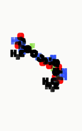 CCN(C)S(=O)(=O)Nc1ccc(F)c(Oc2ccc3ncn([C@H]4COC5(CCN(C6CCC(c7cc8c(cc7F)c(N7CCC(=O)NC7=O)nn8C)CC6)CC5)C4)c(=O)c3c2)c1C#N